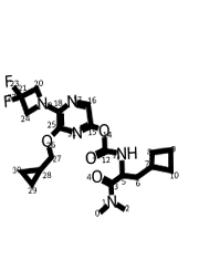 CN(C)C(=O)C(CC1CCC1)NC(=O)Oc1cnc(N2CC(F)(F)C2)c(OCC2CC2)n1